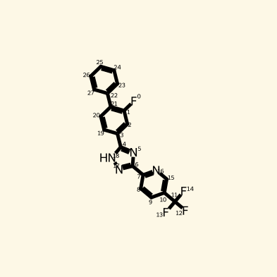 Fc1cc(-c2nc(-c3ccc(C(F)(F)F)cn3)n[nH]2)ccc1-c1ccccc1